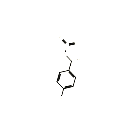 CC(=O)c1ccc([C@@H](C)N[SH](=O)=O)cc1